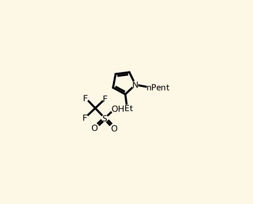 CCCCCn1cccc1CC.O=S(=O)(O)C(F)(F)F